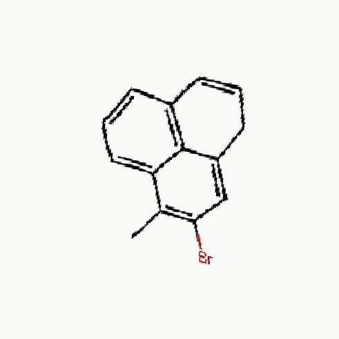 Cc1c(Br)cc2c3c(cccc13)C=CC2